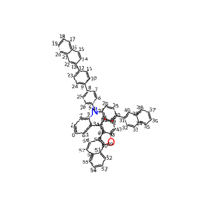 c1ccc(N(c2ccc(-c3ccc(-c4ccc5ccccc5c4)cc3)cc2)c2ccc(-c3ccc4ccccc4c3)cc2)c(-c2cccc3oc4c5ccccc5ccc4c23)c1